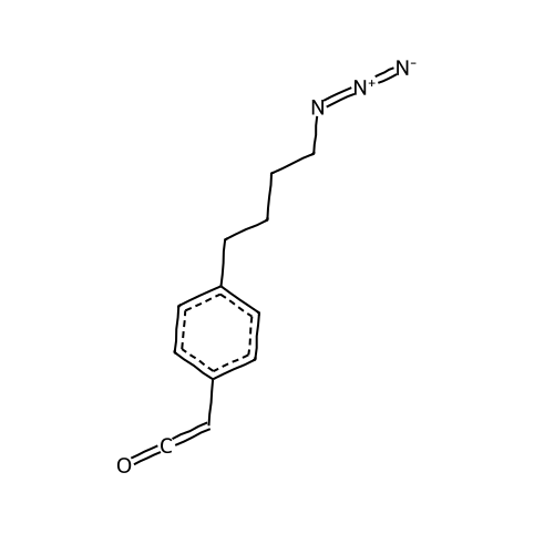 [N-]=[N+]=NCCCCc1ccc(C=C=O)cc1